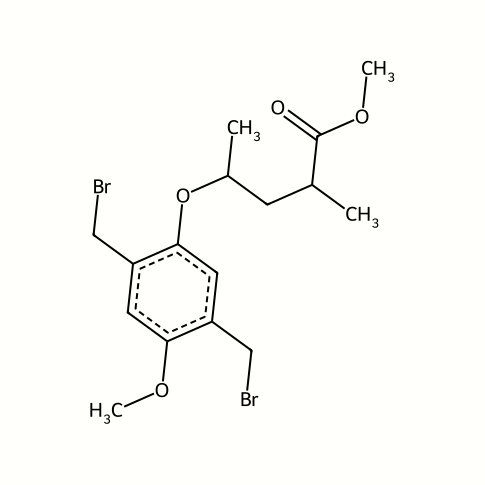 COC(=O)C(C)CC(C)Oc1cc(CBr)c(OC)cc1CBr